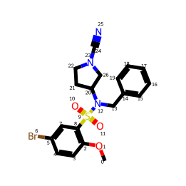 COc1ccc(Br)cc1S(=O)(=O)N(Cc1ccccc1)C1CCN(C#N)C1